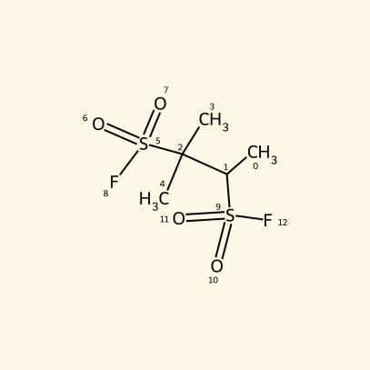 CC(C(C)(C)S(=O)(=O)F)S(=O)(=O)F